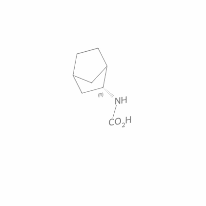 O=C(O)N[C@@H]1CC2CCC1C2